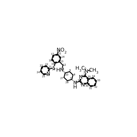 CN(C)c1nc(N[C@H]2CC[C@@H](NCc3cc([N+](=O)[O-])ccc3Sc3ccccn3)CC2)nc2ccccc12